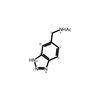 CC(=O)NCc1ccc2nn[nH]c2c1